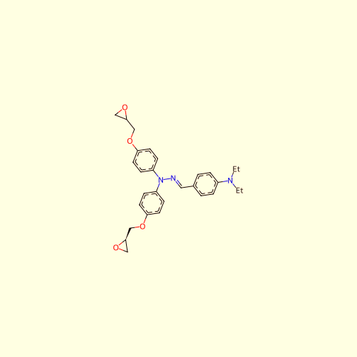 CCN(CC)c1ccc(C=NN(c2ccc(OCC3CO3)cc2)c2ccc(OC[C@H]3CO3)cc2)cc1